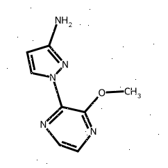 COc1nccnc1-n1ccc(N)n1